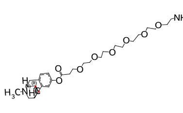 CN1CC[C@]23CCCC[C@H]2[C@H]1Cc1ccc(OC(=O)CCOCCOCCOCCOCCOCCOCCN)cc13